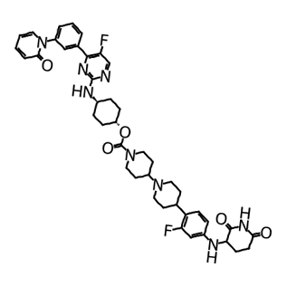 O=C1CCC(Nc2ccc(C3CCN(C4CCN(C(=O)O[C@H]5CC[C@H](Nc6ncc(F)c(-c7cccc(-n8ccccc8=O)c7)n6)CC5)CC4)CC3)c(F)c2)C(=O)N1